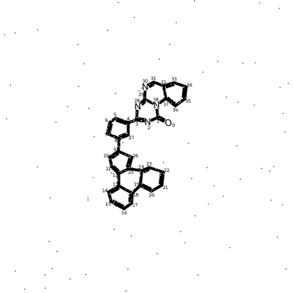 O=c1nc(-c2cccc(-c3ccc4c5ccccc5c5ccccc5c4c3)c2)nc2ncc3ccccc3n12